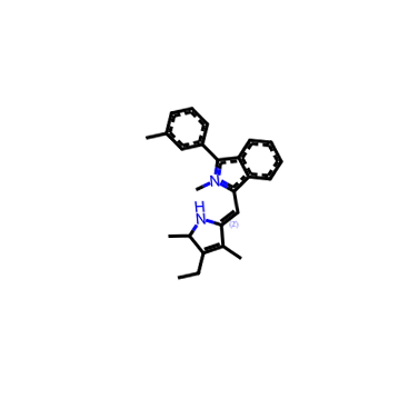 CCC1=C(C)/C(=C/c2c3ccccc3c(-c3cccc(C)c3)n2C)NC1C